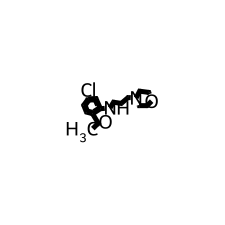 CC(=O)c1ccc(Cl)cc1NCCCN1CCOCC1